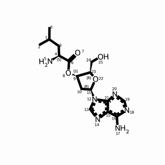 CC(C)C[C@H](N)C(=O)O[C@H]1C[C@H](n2cnc3c(N)ncnc32)O[C@@H]1CO